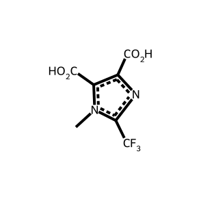 Cn1c(C(F)(F)F)nc(C(=O)O)c1C(=O)O